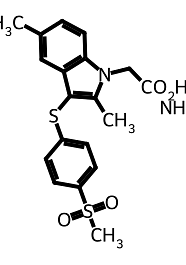 Cc1ccc2c(c1)c(Sc1ccc(S(C)(=O)=O)cc1)c(C)n2CC(=O)O.N